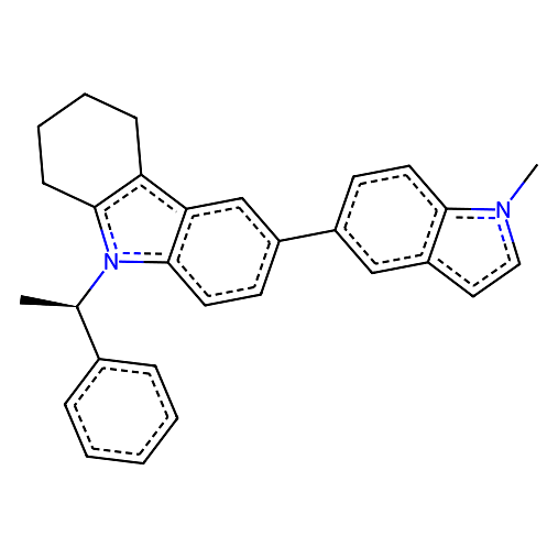 C[C@H](c1ccccc1)n1c2c(c3cc(-c4ccc5c(ccn5C)c4)ccc31)CCCC2